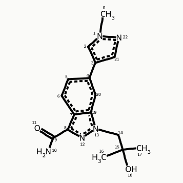 Cn1cc(-c2ccc3c(C(N)=O)nn(CC(C)(C)O)c3c2)cn1